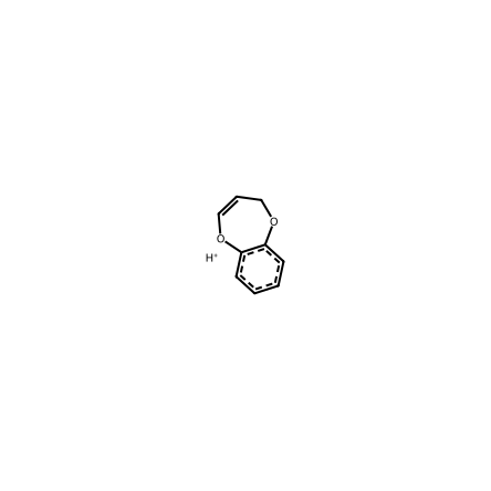 C1=COc2ccccc2OC1.[H+]